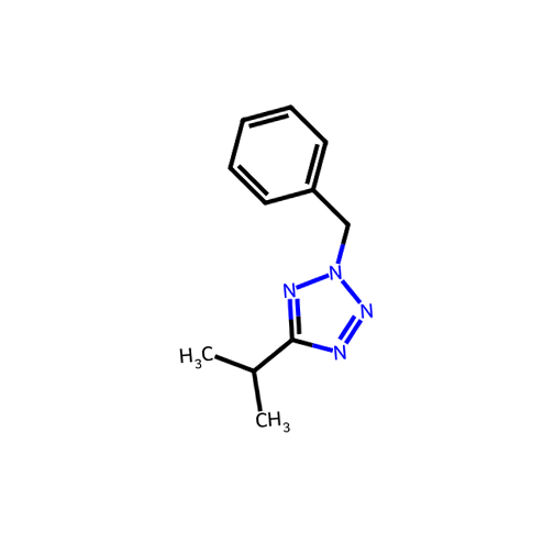 CC(C)c1nnn(Cc2ccccc2)n1